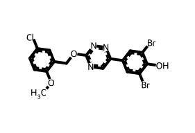 COc1ccc(Cl)cc1COc1ncc(-c2cc(Br)c(O)c(Br)c2)nn1